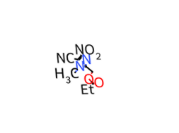 CCC(=O)OCc1nc([N+](=O)[O-])c(C#N)n1C